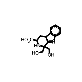 O=C(O)C1CC2C(=Nc3ccccc32)C(CO)(CO)N1